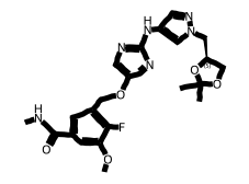 CNC(=O)c1cc(COc2cnc(Nc3cnn(C[C@H]4COC(C)(C)O4)c3)nc2)c(F)c(OC)c1